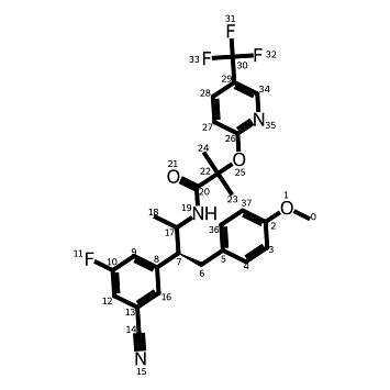 COc1ccc(C[C@@H](c2cc(F)cc(C#N)c2)C(C)NC(=O)C(C)(C)Oc2ccc(C(F)(F)F)cn2)cc1